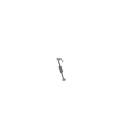 NC#CBr